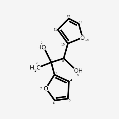 CC(O)(c1ccco1)C(O)c1ccco1